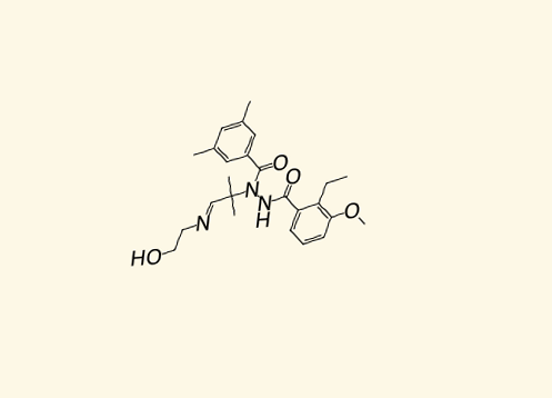 CCc1c(OC)cccc1C(=O)NN(C(=O)c1cc(C)cc(C)c1)C(C)(C)C=NCCO